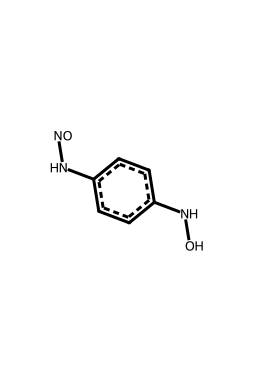 O=NNc1ccc(NO)cc1